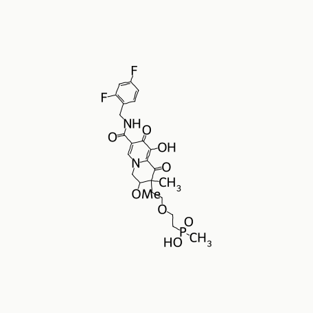 COC1Cn2cc(C(=O)NCc3ccc(F)cc3F)c(=O)c(O)c2C(=O)C1(C)CCOCCP(C)(=O)O